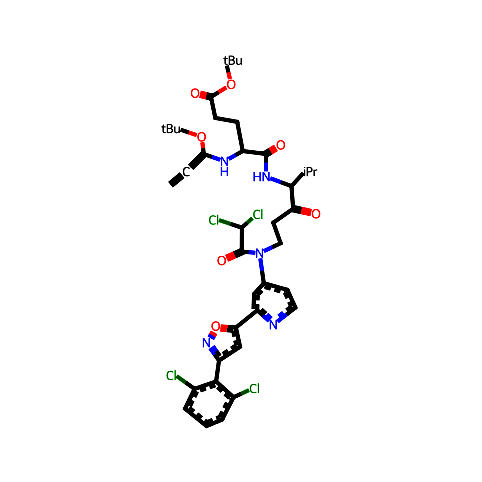 C=C=C(NC(CCC(=O)OC(C)(C)C)C(=O)NC(C(=O)CCN(C(=O)C(Cl)Cl)c1ccnc(-c2cc(-c3c(Cl)cccc3Cl)no2)c1)C(C)C)OC(C)(C)C